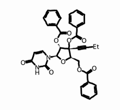 CCC#C[C@@]1(OC(=O)c2ccccc2)[C@@H](COC(=O)c2ccccc2)O[C@@H](n2ccc(=O)[nH]c2=O)[C@@H]1OC(=O)c1ccccc1